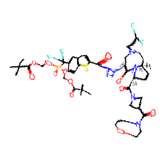 CC(C)(C)C(=O)OCOP(=O)(OCOC(=O)C(C)(C)C)C(F)(F)c1ccc2sc(C(=O)N[C@H]3CN(CC(F)F)CC[C@H]4CC[C@@H](C(=O)N5CC(C(=O)N6CCOCC6)C5)N4C3=O)cc2c1